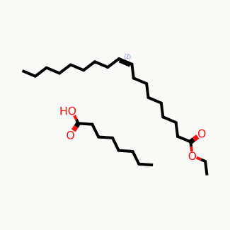 CCCCCCCC(=O)O.CCCCCCCC/C=C\CCCCCCCC(=O)OCC